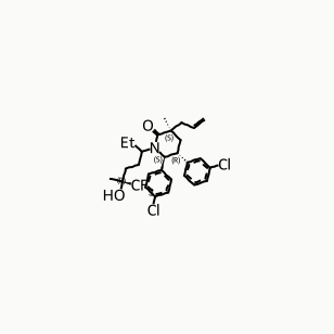 C=CC[C@@]1(C)C[C@H](c2cccc(Cl)c2)[C@@H](c2ccc(Cl)cc2)N(C(CC)CC[C@@](C)(O)C(F)(F)F)C1=O